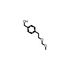 COCOCCc1ccc(CO)cc1